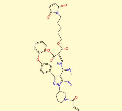 C=CC(=O)N1CCCC(n2nc(-c3ccc(Oc4ccccc4)cc3)c(/C(=N\C)N/C=C(\C(=O)O)C(=O)OCCCCCN3C(=O)C=CC3=O)c2N=C)C1